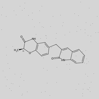 C[C@@H]1Oc2ccc(Cc3cc4ccccc4[nH]c3=O)cc2NC1=O